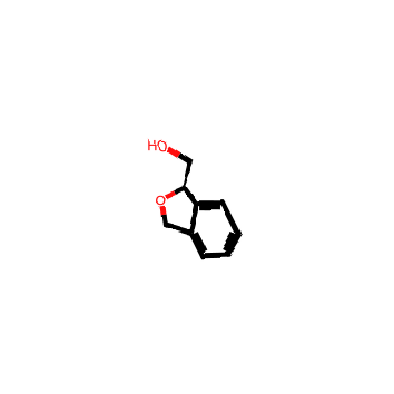 OC[C@@H]1OCc2ccccc21